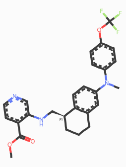 COC(=O)c1ccncc1NC[C@@H]1CCCc2cc(N(C)c3ccc(OC(F)(F)F)cc3)ccc21